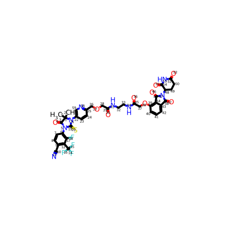 CC1(C)C(=O)N(c2ccc(C#N)c(C(F)(F)F)c2F)C(=S)N1c1ccc(COCC(=O)NCCNC(=O)COc2cccc3c2C(=O)N(C2CCC(=O)NC2=O)C3=O)nc1